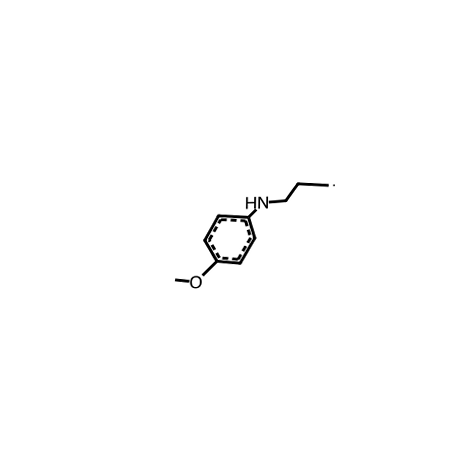 [CH2]CCNc1ccc(OC)cc1